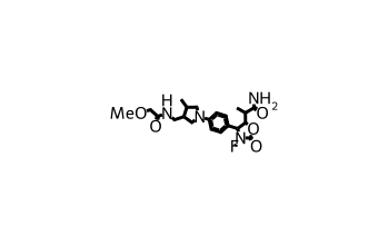 COCC(=O)NCC1CN(c2ccc(C3C(C(C)C(N)=O)OC(=O)N3F)cc2)CC1C